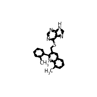 Cc1ccccc1-c1nc2c(C)cccc2cc1CSc1ncnc2[nH]cnc12